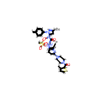 Cc1ccc(-n2nc(C(C)(C)C)cc2N(OS(C)(=O)=O)C(=O)Nc2ccc(N3CCN(C(=O)c4sccc4C)CC3)nc2C)cc1